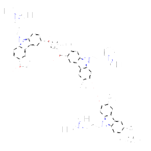 COc1cc2c(cc1C(C)=O)c1cc(C(C)=O)c(OCCOc3cc4c(cc3C(C)=O)c3cc(C(=O)CCC(=O)c5ccc6c(c5)c5c7c(ccc5n6CCCN(C)C)C(=O)CC7)c(OC)cc3n4CCC3CCCN3C)cc1n2CCCN(C)C